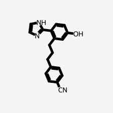 N#Cc1ccc(CCCc2cc(O)ccc2-c2ncc[nH]2)cc1